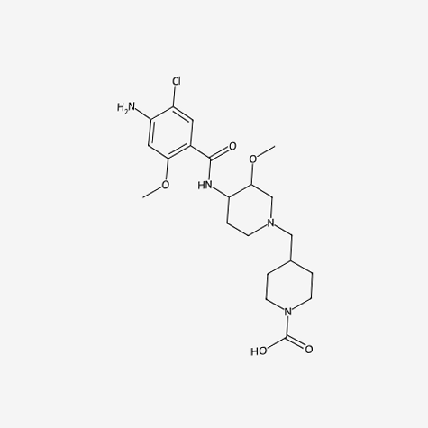 COc1cc(N)c(Cl)cc1C(=O)NC1CCN(CC2CCN(C(=O)O)CC2)CC1OC